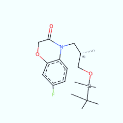 C[C@H](CO[Si](C)(C)C(C)(C)C)CN1C(=O)COc2cc(F)ccc21